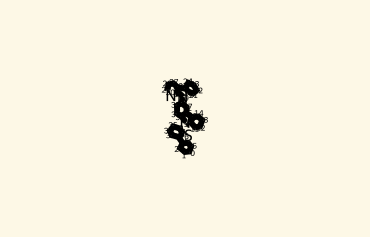 c1ccc2c(c1)sc1c(-n3c4ccccc4c4cc(-n5c6ccccc6c6cccnc65)ccc43)cccc12